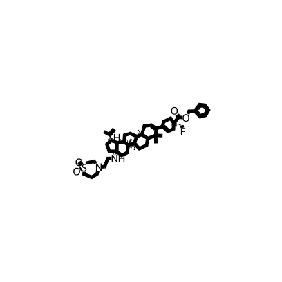 C=C(C)[C@@H]1CC[C@]2(NCCN3CCCS(=O)(=O)CC3)CC[C@]3(C)[C@H](CCC4[C@@]5(C)CC=C(C6=CC[C@](CF)(C(=O)OCc7ccccc7)CC6)C(C)(C)C5CC[C@]43C)C12